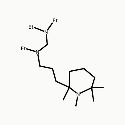 CCN(CC)CN(CC)CCCC1(C)CCCC(C)(C)N1C